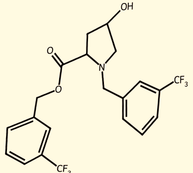 O=C(OCc1cccc(C(F)(F)F)c1)C1CC(O)CN1Cc1cccc(C(F)(F)F)c1